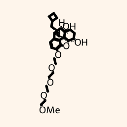 COCCOCCOCCOCCOc1ccc2c3c1OC1[C@@H](O)CC[C@@]4(O)[C@@H](C2)N(CC2CCC2)CC[C@]314